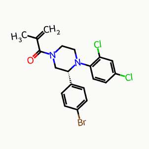 C=C(C)C(=O)N1CCN(c2ccc(Cl)cc2Cl)[C@H](c2ccc(Br)cc2)C1